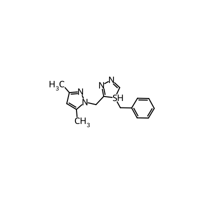 Cc1cc(C)n(CC2=NN=C[SH]2Cc2ccccc2)n1